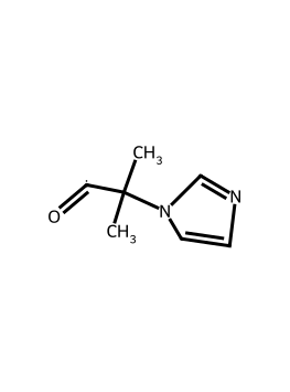 CC(C)([C]=O)n1ccnc1